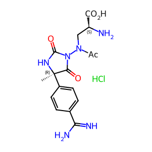 CC(=O)N(C[C@H](N)C(=O)O)N1C(=O)N[C@](C)(c2ccc(C(=N)N)cc2)C1=O.Cl